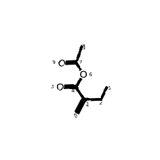 C=C(CC)C(=O)OC(C)=O